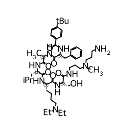 CCN(CC)CCCC[C@H](NC(=O)[C@H](CC(C)C)NC(=O)[C@H](C)NC(=O)[C@H](Cc1ccccc1)NC(=O)c1ccc(C(C)(C)C)cc1)C(=O)N[C@@H](CO)C(=O)NCCCN(C)CCCN